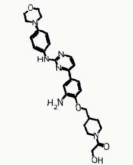 Nc1cc(-c2ccnc(Nc3ccc(N4CCOCC4)cc3)n2)ccc1OCC1CCN(C(=O)CO)CC1